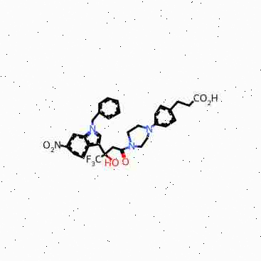 O=C(O)CCc1ccc(N2CCN(C(=O)CC(O)(c3cn(Cc4ccccc4)c4cc([N+](=O)[O-])ccc34)C(F)(F)F)CC2)cc1